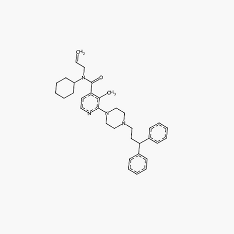 C=CCN(C(=O)c1ccnc(N2CCN(CCC(c3ccccc3)c3ccccc3)CC2)c1C)C1CCCCC1